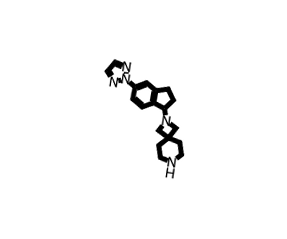 c1cnn(-c2ccc3c(c2)CCC3N2CC3(CCNCC3)C2)n1